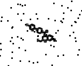 O=C(N1CCN(c2ccc(F)cn2)CC1)N1CC(CF)Oc2cc(F)ccc21